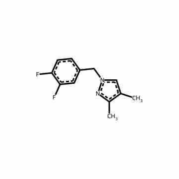 Cc1cn(Cc2ccc(F)c(F)c2)nc1C